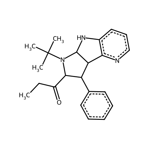 CCC(=O)C1C(c2ccccc2)C2c3ncccc3NC2N1C(C)(C)C